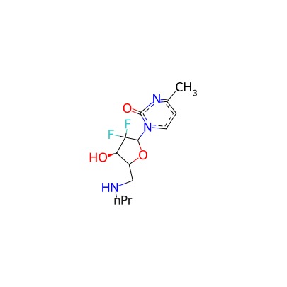 CCCNCC1OC(n2ccc(C)nc2=O)C(F)(F)[C@@H]1O